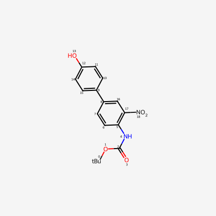 CC(C)(C)OC(=O)Nc1ccc(-c2ccc(O)cc2)cc1[N+](=O)[O-]